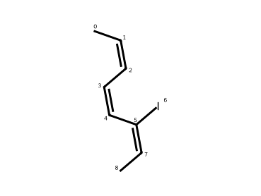 C\C=C/C=C\C(I)=C/C